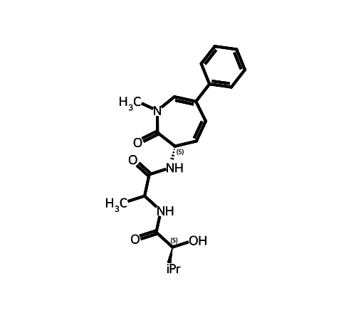 CC(NC(=O)[C@@H](O)C(C)C)C(=O)N[C@H]1C=CC(c2ccccc2)=CN(C)C1=O